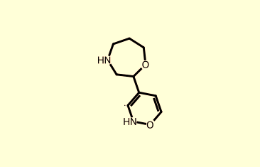 [C]1=C(C2CNCCCO2)C=CON1